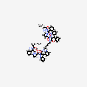 CN[C@@H](C)C(=O)N[C@H](C(=O)N1CCCC1C(=O)N[C@H](C(=O)NCCCCCCNC(=O)C(NC(=O)[C@@H]1CCCN1C(=O)[C@@H](NC(=O)[C@H](C)NC)C1CCCCC1)C(c1ccccc1)c1ccccc1)C(c1ccccc1)c1ccccc1)C1CCCCC1